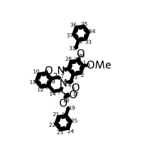 COc1cc(C(=O)N2Cc3ccccc3C[C@H]2C(=O)OCc2ccccc2)c([N+](=O)[O-])cc1OCc1ccccc1